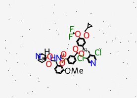 COc1cccc(C(NS(=O)(=O)c2cccc(C(=O)O[C@@H](Cc3c(Cl)cncc3Cl)c3ccc(OC(F)F)c(OCC4CC4)c3)c2)C(=O)O[C@H]2CN3CCC2CC3)c1